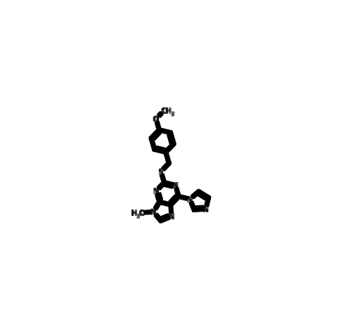 COc1ccc(CSc2nc(-n3ccnc3)c3ncn(C)c3n2)cc1